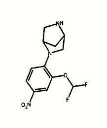 O=[N+]([O-])c1ccc(N2CC3CC2CN3)c(OC(F)F)c1